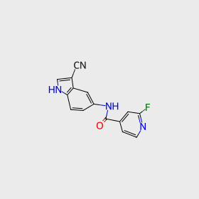 N#Cc1c[nH]c2ccc(NC(=O)c3ccnc(F)c3)cc12